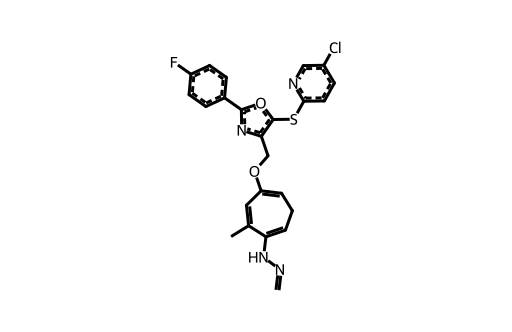 C=NNC1=CCC=C(OCc2nc(-c3ccc(F)cc3)oc2Sc2ccc(Cl)cn2)C=C1C